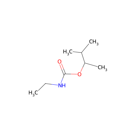 CCNC(=O)OC(C)C(C)C